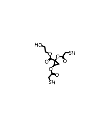 O=C(CS)OC1CC1(OC(=O)CS)C(=O)OCCO